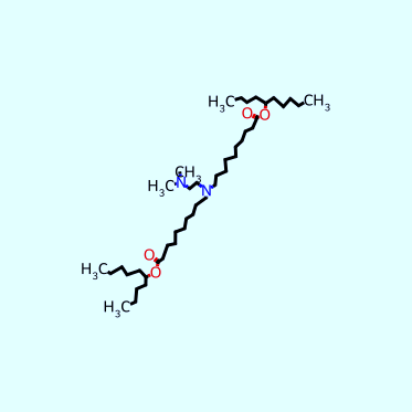 CCCCCC(CCCC)OC(=O)CCCCCCCCCN(CCCCCCCCCC(=O)OC(CCCC)CCCCC)CCN(C)C